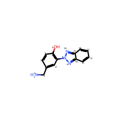 NCc1ccc(O)c(-n2nc3ccccc3n2)c1